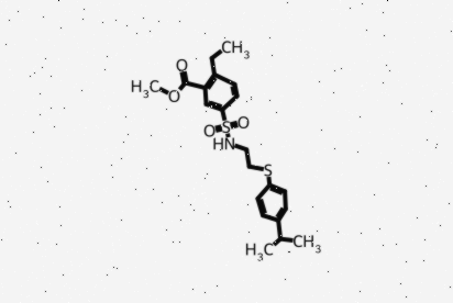 CCc1ccc(S(=O)(=O)NCCSc2ccc(C(C)C)cc2)cc1C(=O)OC